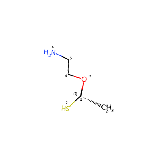 C[C@H](S)OCCN